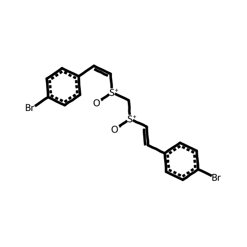 [O-][S+](C=Cc1ccc(Br)cc1)C[S+]([O-])/C=C\c1ccc(Br)cc1